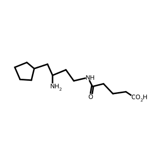 NC(CCNC(=O)CCCC(=O)O)CC1CCCC1